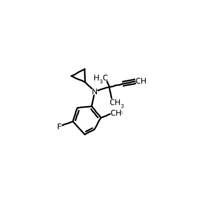 [CH]c1ccc(F)cc1N(C1CC1)C(C)(C)C#C